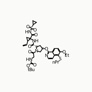 C=CC1C[C@]1(NC(=O)[C@@H]1C[C@@H](Oc2nccc3c(SCCC)c(OCC)ccc23)CN1C(=O)CNC(=O)OC(C)(C)C)C(=O)NS(=O)(=O)C1CC1